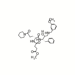 COC(=O)CCC(=O)N[C@H](CCC(=O)N1CCCCC1)C(=O)N[C@@H](Cc1ccccc1)[C@@H](O)CNCc1cccc(OC)c1